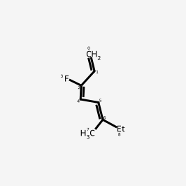 C=C/C(F)=C\C=C(/C)CC